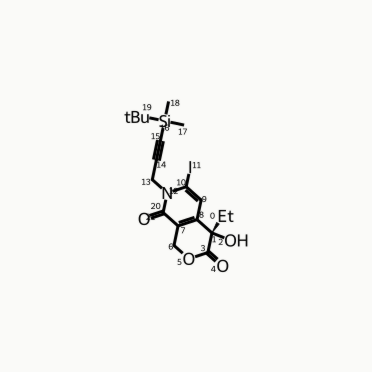 CC[C@@]1(O)C(=O)OCc2c1cc(I)n(CC#C[Si](C)(C)C(C)(C)C)c2=O